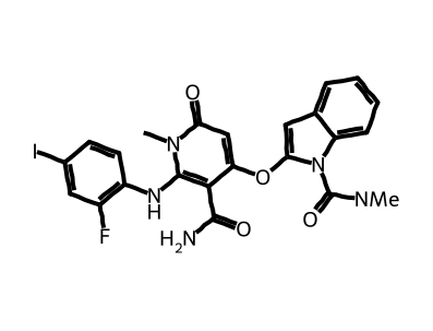 CNC(=O)n1c(Oc2cc(=O)n(C)c(Nc3ccc(I)cc3F)c2C(N)=O)cc2ccccc21